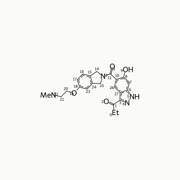 CCC(=O)c1n[nH]c2cc(O)c(C(=O)N3Cc4ccc(OCCNC)cc4C3)cc12